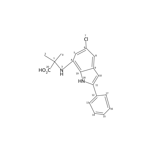 CC(C)(Nc1cc(Cl)cc2cc(-c3ccccc3)[nH]c12)C(=O)O